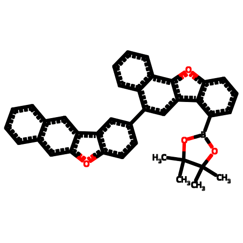 CC1(C)OB(c2cccc3oc4c5ccccc5c(-c5ccc6oc7cc8ccccc8cc7c6c5)cc4c23)OC1(C)C